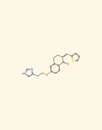 O=C1C(=Cc2cccs2)CCc2cc(OCCc3c[nH]cn3)ccc21